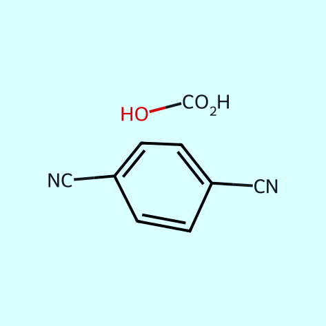 N#Cc1ccc(C#N)cc1.O=C(O)O